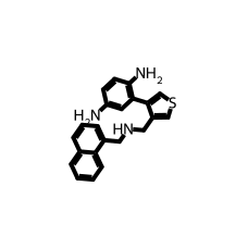 Nc1ccc(N)c(-c2cscc2CNCc2cccc3ccccc23)c1